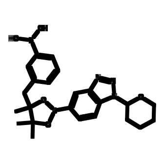 CC1(C)OB(c2ccc3c(c2)nnn3C2CCCCO2)OC1(C)Cc1cccc(B(O)O)c1